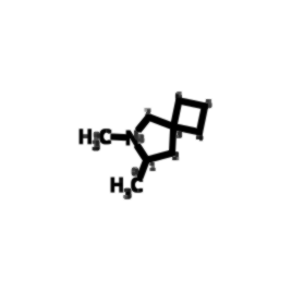 CC1CC2(CCC2)CN1C